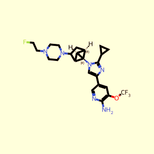 Nc1ncc(-c2cn([C@]34C5C(N6CCN(CCF)CC6)C[C@@H]3[C@H]54)c(C3CC3)n2)cc1OC(F)(F)F